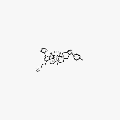 C[C@]12C[C@H](O)[C@H]3[C@@H](CCC4=Cc5c(cnn5-c5ccc(F)cc5)C[C@]43C)[C@@H]1CC[C@]2(OC(=O)c1ccco1)C(=O)SCCCO